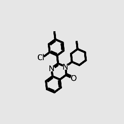 Cc1ccc(-c2nc3ccccc3c(=O)n2C2CCCC(C)C2)c(Cl)c1